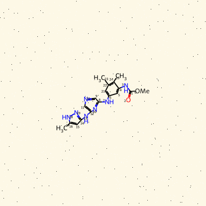 COC(=O)Nc1cc(Nc2cncc(Nc3cc(C)[nH]n3)n2)cc(C)c1C